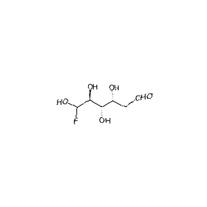 O=CC[C@@H](O)[C@H](O)[C@H](O)C(O)F